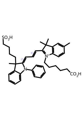 Cc1ccc2c(c1)C(C)(C)C(/C=C/C=C1\N(c3ccccc3)c3ccccc3C1(C)CCCCS(=O)(=O)O)=[N+]2CCCCCC(=O)O